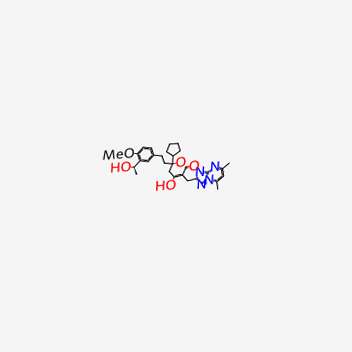 COc1ccc(CCC2(C3CCCC3)CC(O)=C(Cc3nc4nc(C)cc(C)n4n3)C(=O)O2)cc1[C@@H](C)O